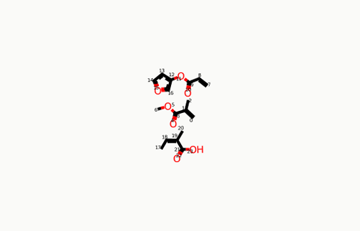 C=C(C)C(=O)OC.C=CC(=O)Oc1ccoc1.CC=C(C)C(=O)O